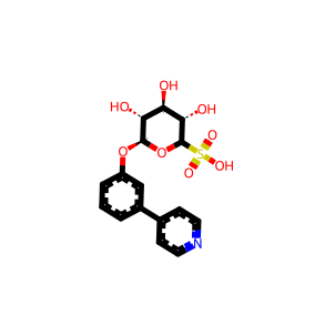 O=S(=O)(O)C1O[C@@H](Oc2cccc(-c3ccncc3)c2)[C@H](O)[C@@H](O)[C@@H]1O